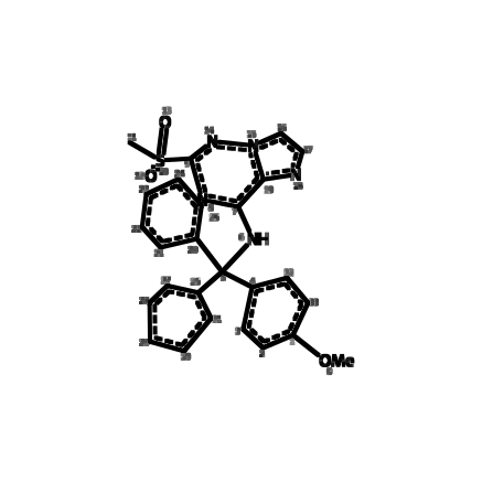 COc1ccc(C(Nc2nc(S(C)(=O)=O)nn3ccnc23)(c2ccccc2)c2ccccc2)cc1